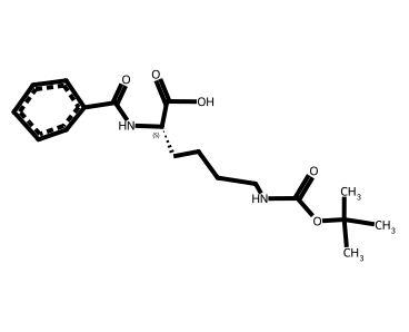 CC(C)(C)OC(=O)NCCCC[C@H](NC(=O)c1ccccc1)C(=O)O